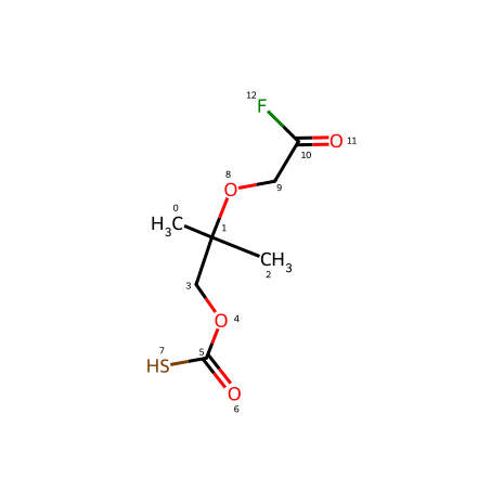 CC(C)(COC(=O)S)OCC(=O)F